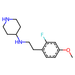 COc1ccc(CCNC2CCNCC2)c(F)c1